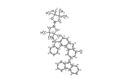 CC1(C)OB(B2OC(C)(C)C(C)(C[SH]3c4ccccc4-c4c3ccc3sc5c(Cl)cc(-n6c7ccccc7c7ccccc76)cc5c43)O2)OC1(C)C